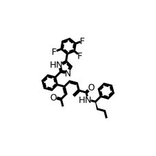 C=C(/C=C\C(=C\C(C)=O)c1ccccc1-c1ncc(-c2c(F)ccc(F)c2F)[nH]1)C(=O)N[C@H](CCC)c1ccccc1